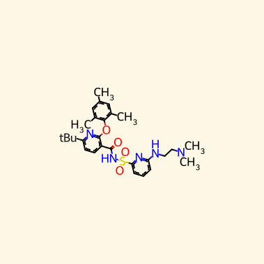 Cc1cc(C)c(Oc2nc(C(C)(C)C)ccc2C(=O)NS(=O)(=O)c2cccc(NCCN(C)C)n2)c(C)c1